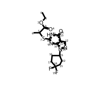 CCOC(=O)C(C)Sc1nc2c(cnn2C2CCC(F)(F)CC2)c(=O)[nH]1